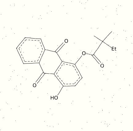 CCC(C)(C)C(=O)Oc1ccc(O)c2c1C(=O)c1ccccc1C2=O